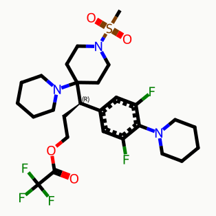 CS(=O)(=O)N1CCC([C@H](CCOC(=O)C(F)(F)F)c2cc(F)c(N3CCCCC3)c(F)c2)(N2CCCCC2)CC1